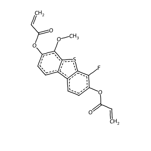 C=CC(=O)Oc1ccc2c(sc3c(OC)c(OC(=O)C=C)ccc32)c1F